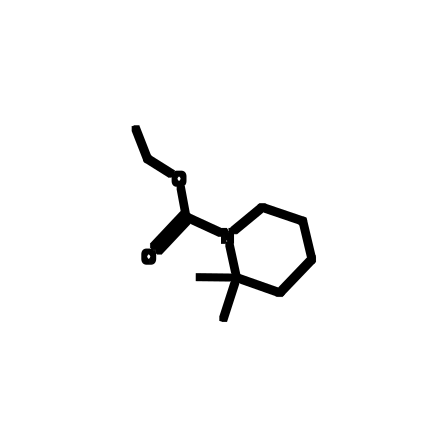 CCOC(=O)N1CCCCC1(C)C